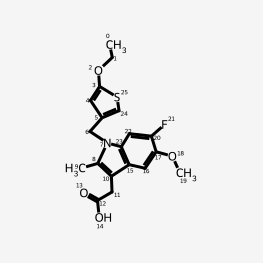 CCOc1cc(Cn2c(C)c(CC(=O)O)c3cc(OC)c(F)cc32)cs1